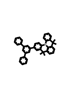 CC1(C)c2ccccc2N2c3ccc(-c4cc(-c5ccccc5)cc(-c5ccccc5)c4)cc3C(C)(C)c3cccc1c32